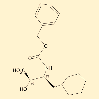 O=C(N[C@@H](CC1CCCCC1)[C@@H](O)C(=O)O)OCc1ccccc1